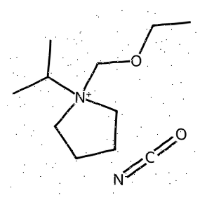 CCOC[N+]1(C(C)C)CCCC1.[N-]=C=O